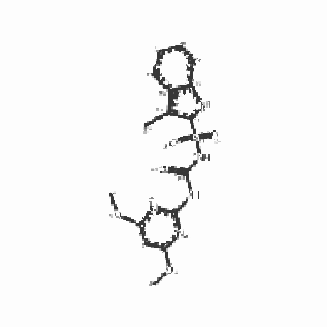 COc1cc(OC)nc(NC(=O)NS(=O)(=O)c2[nH]c3ccccc3c2C)n1